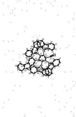 Cc1cccc2c3ccccc3n(-c3c(C#N)c(-n4c5ccccc5c5cccc(C)c54)c(-n4c5ccccc5c5cccc(C)c54)c(-c4ccc5c(c4)oc4cnccc45)c3-n3c4ccccc4c4cccc(C)c43)c12